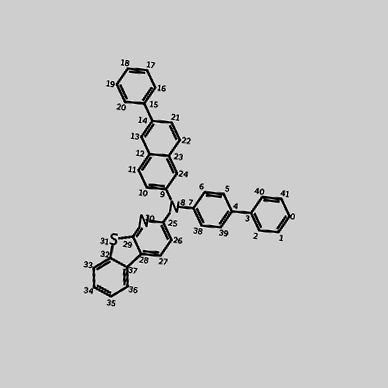 c1ccc(-c2ccc(N(c3ccc4cc(-c5ccccc5)ccc4c3)c3ccc4c(n3)sc3ccccc34)cc2)cc1